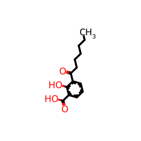 CCCCCCC(=O)c1cccc(C(=O)O)c1O